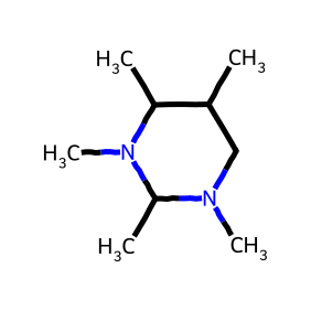 CC1CN(C)C(C)N(C)C1C